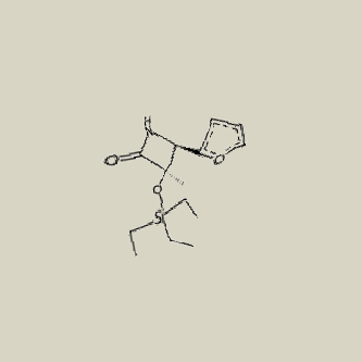 CC[Si](CC)(CC)O[C@@]1(C)C(=O)N[C@H]1c1ccco1